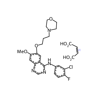 COc1cc2ncnc(Nc3ccc(F)c(Cl)c3)c2cc1OCCCN1CCOCC1.O=C(O)/C=C\C(=O)O